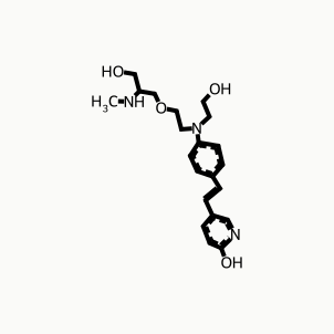 CNC(CO)COCCN(CCO)c1ccc(/C=C/c2ccc(O)nc2)cc1